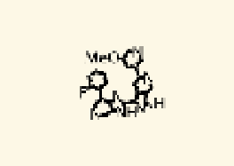 COc1cncc(-c2cc3c(-c4nc5c(-c6ccccc6F)cncc5[nH]4)n[nH]c3cn2)c1